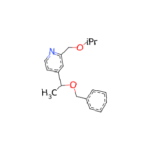 CC(C)OCc1cc(C(C)OCc2ccccc2)ccn1